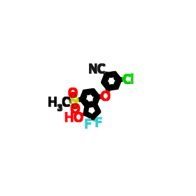 CS(=O)(=O)c1ccc(Oc2cc(Cl)cc(C#N)c2)c2c1[C@H](O)C(F)(F)C2